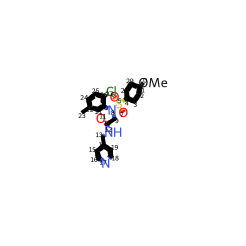 COc1ccc(S(=O)(=O)N(CC(=O)NCc2ccncc2)c2cc(C)ccc2Cl)cc1